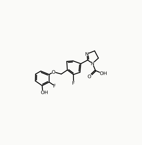 O=C(O)N1CCN=C1c1ccc(COc2cccc(O)c2F)c(F)c1